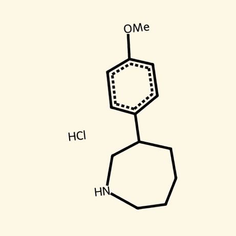 COc1ccc(C2CCCCNC2)cc1.Cl